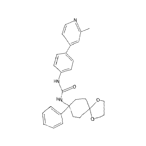 Cc1cc(-c2ccc(NC(=O)NC3(c4ccccc4)CCC4(CC3)OCCO4)cc2)ccn1